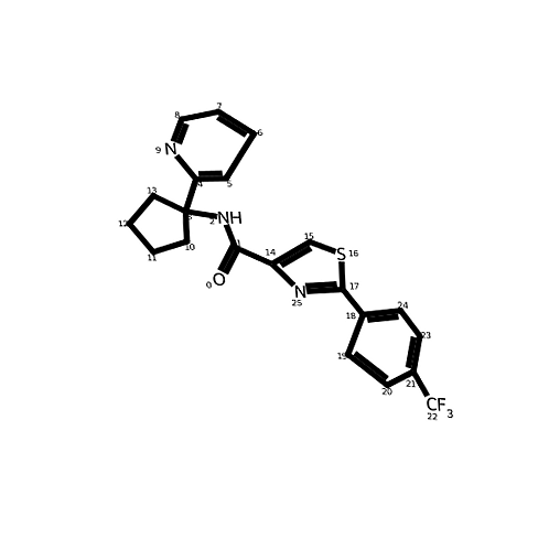 O=C(NC1(c2ccccn2)CCCC1)c1csc(-c2ccc(C(F)(F)F)cc2)n1